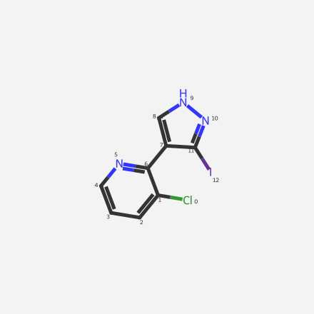 Clc1cccnc1-c1[c][nH]nc1I